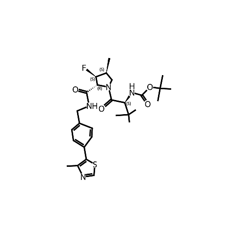 Cc1ncsc1-c1ccc(CNC(=O)[C@@H]2[C@@H](F)[C@@H](C)CN2C(=O)[C@@H](NC(=O)OC(C)(C)C)C(C)(C)C)cc1